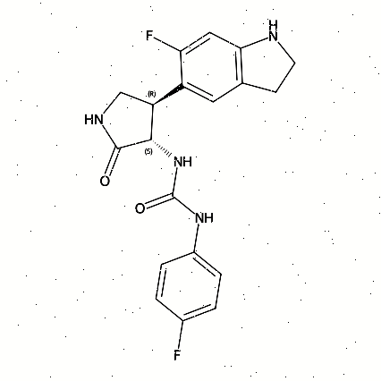 O=C(Nc1ccc(F)cc1)N[C@@H]1C(=O)NC[C@H]1c1cc2c(cc1F)NCC2